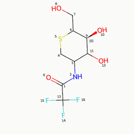 O=C(NC1CSC(CO)[C@@H](O)C1O)C(F)(F)F